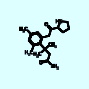 BC(=O)CC(C)(C)c1c(C)cc(C)cc1CC(=O)C1CCCN1